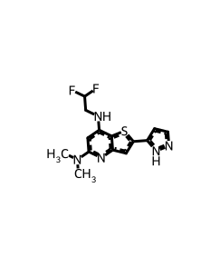 CN(C)c1cc(NCC(F)F)c2sc(-c3ccn[nH]3)cc2n1